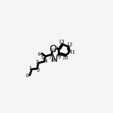 CCCCCC(C)c1nc2ccccc2o1